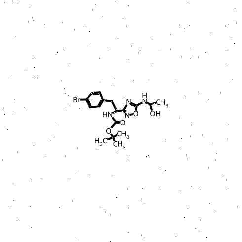 CC(O)Nc1nc(C(Cc2ccc(Br)cc2)NC(=O)OC(C)(C)C)no1